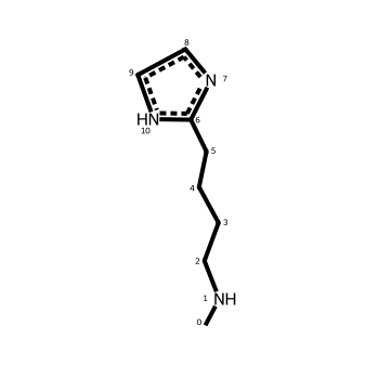 CNCCCCc1ncc[nH]1